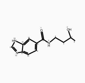 CC(O)CCNC(=O)c1ccc2nc[nH]c2c1